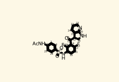 CC(=O)Nc1ccc(S(=O)(=O)Nc2ccc(F)c(C(=O)C3CNc4ncccc43)c2F)cc1